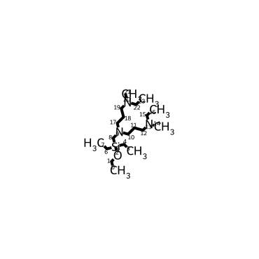 CCO[Si](CC)(CC)CN(CCCN(C)CC)CCCN(C)CC